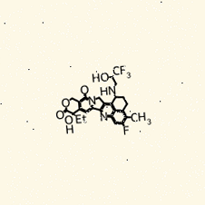 CC[C@@]1(O)C(=O)OCc2c1cc1n(c2=O)Cc2c-1nc1cc(F)c(C)c3c1c2[C@@H](NC[C@H](O)C(F)(F)F)CC3